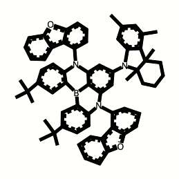 Cc1cc(C)c2c(c1)N(c1cc3c4c(c1)N(c1cccc5oc6ccccc6c15)c1ccc(C(C)(C)C)cc1B4c1cc(C(C)(C)C)ccc1N3c1cccc3oc4ccccc4c13)C1(C)CCCCC21C